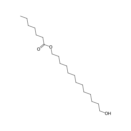 CCCCCCC(=O)OCCCCCCCCCCCCCO